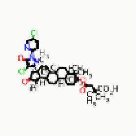 CC(C)C1=C2[C@H]3CC[C@@H]4[C@@]5(C)CC[C@H](OC(=O)CC(C)(C)C(=O)O)C(C)(C)[C@@H]5CC[C@@]4(C)[C@]3(C)CC[C@@]2(c2c(Cl)c(=O)n(-c3ccc(Cl)cn3)n2C)CC1=O